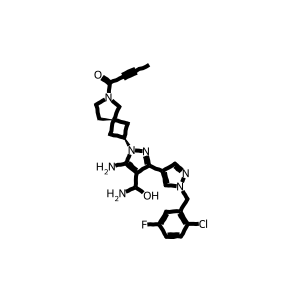 CC#CC(=O)N1CC[C@]2(C1)C[C@H](n1nc(-c3cnn(Cc4cc(F)ccc4Cl)c3)c(C(N)O)c1N)C2